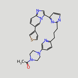 CC(=O)N1CCN(c2ccc(CCCc3nccc(-c4cnc5ccc(-c6ccsc6)cn45)n3)nc2)CC1